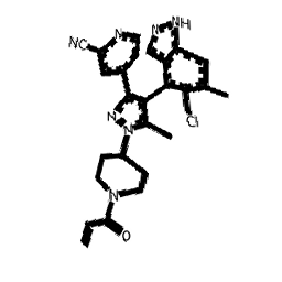 C=CC(=O)N1CCC(n2nc(-c3ccnc(C#N)c3)c(-c3c(Cl)c(C)cc4[nH]ncc34)c2C)CC1